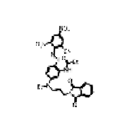 CCC(=O)Nc1cc(N(CC)CCCN2C(=O)c3ccccc3C2=O)ccc1/N=N/c1c(C#N)cc([N+](=O)[O-])cc1[N+](=O)[O-]